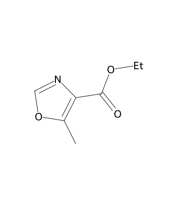 CCOC(=O)c1ncoc1C